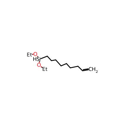 C=CCCCCCCC[SiH](OCC)OCC